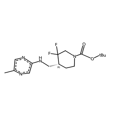 Cc1cnc(NC[C@H]2CCN(C(=O)OC(C)(C)C)CC2(F)F)cn1